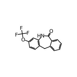 O=C1Nc2cc(OC(F)(F)F)ccc2Cc2ccccc21